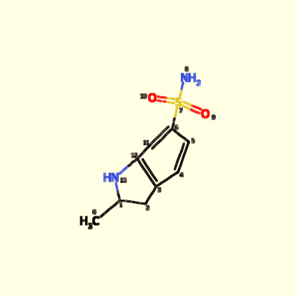 CC1Cc2ccc(S(N)(=O)=O)cc2N1